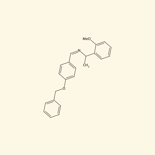 COc1ccccc1C(C)/N=C\c1ccc(OCc2ccccc2)cc1